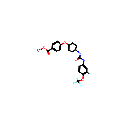 COC(=O)c1ccc(OC2CCC(NC(=O)Nc3ccc(OC(F)(F)F)c(F)c3)CC2)cc1